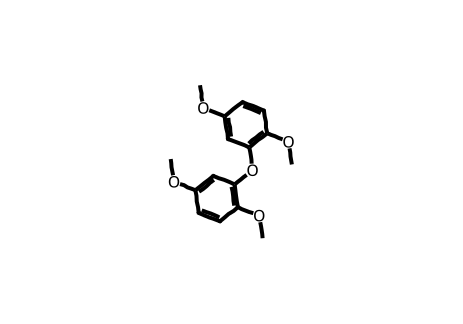 COc1ccc(OC)c(Oc2cc(OC)ccc2OC)c1